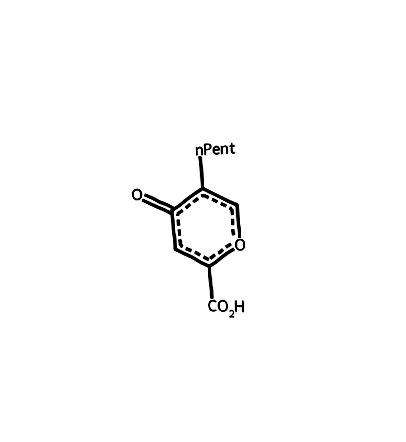 CCCCCc1coc(C(=O)O)cc1=O